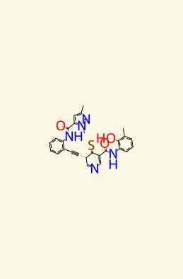 Cc1cc(C(=O)Nc2ccccc2C#C[C@H]2C=NC=C(C(=O)Nc3cccc(C)c3O)C2=S)n(C)n1